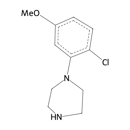 COc1ccc(Cl)c(N2CCNCC2)c1